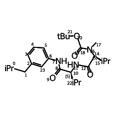 CC(C)Cc1cccc(NC(=O)[C@@H](NC(=O)[C@H](C(C)C)N(C)C(=O)OC(C)(C)C)C(C)C)c1